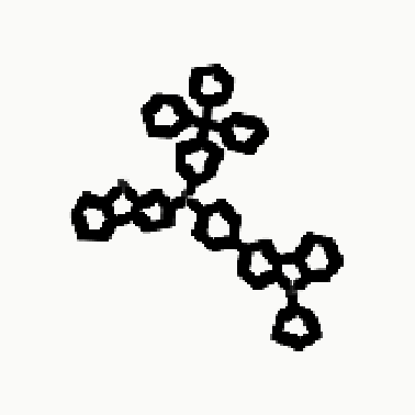 c1ccc(-n2c3ccccc3c3cc(-c4ccc(N(c5ccc(C(c6ccccc6)(c6ccccc6)c6ccccc6)cc5)c5ccc6c(c5)sc5ccccc56)cc4)ccc32)cc1